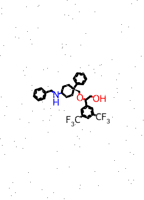 OCC(OC[C@]1(c2ccccc2)CC[C@H](NCc2ccccc2)CC1)c1cc(C(F)(F)F)cc(C(F)(F)F)c1